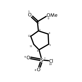 COC(=O)C1CCC(S(=O)(=O)Cl)CC1